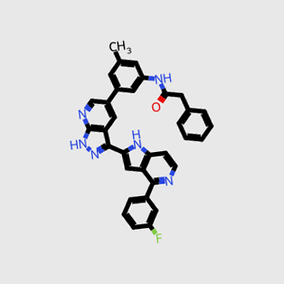 Cc1cc(NC(=O)Cc2ccccc2)cc(-c2cnc3[nH]nc(-c4cc5c(-c6cccc(F)c6)nccc5[nH]4)c3c2)c1